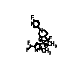 Cn1nc(C(F)F)cc1S(=O)(=O)C(C)(F)C1CCN(c2ccc(F)nc2)CC1